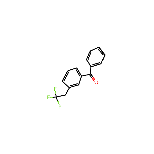 O=C(c1ccccc1)c1cccc(CC(F)(F)F)c1